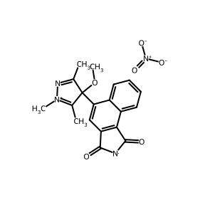 COC1(c2cc3c(c4ccccc24)C(=O)[N]C3=O)C(C)=N[N+](C)=C1C.O=[N+]([O-])[O-]